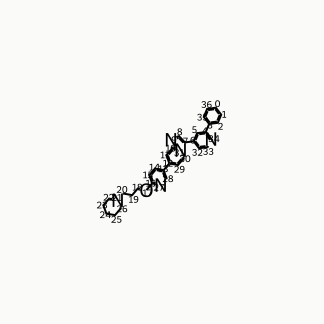 c1ccc(-c2cc(-c3cnc4cc(-c5ccc(OCCCN6CCCCC6)nc5)ccn34)ccn2)cc1